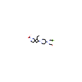 CCC1C(N2CCC(N(CCO)CC(F)(F)F)CC2)CC12CCN(C(=O)O)C2